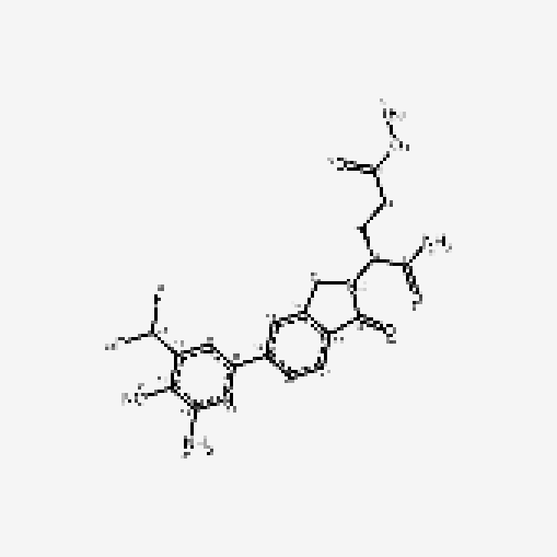 CC(C)(C)OC(=O)CC[C@@H](C(N)=O)N1Cc2cc(-c3cc(C(F)F)c(C#N)c(N)n3)ccc2C1=O